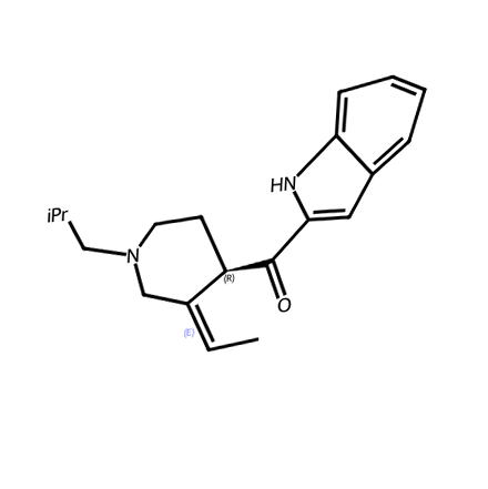 C/C=C1/CN(CC(C)C)CC[C@H]1C(=O)c1cc2ccccc2[nH]1